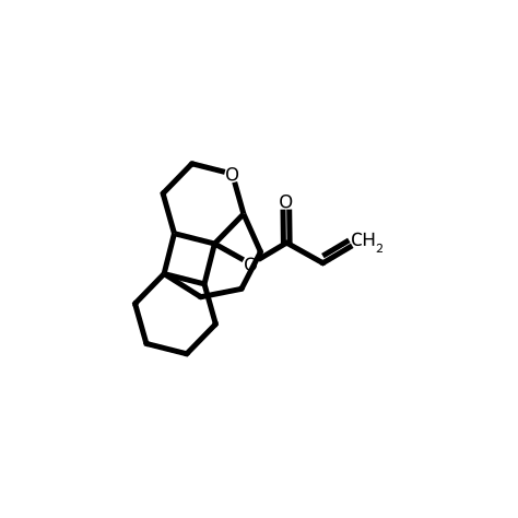 C=CC(=O)OC12C3CCCC4(CCCCC41)C2CCO3